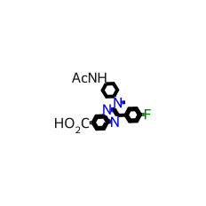 CC(=O)NC1CCC(N(C)c2nc3cc(C(=O)O)ccc3nc2-c2ccc(F)cc2)CC1